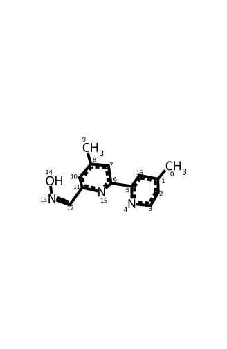 Cc1ccnc(-c2cc(C)cc(/C=N\O)n2)c1